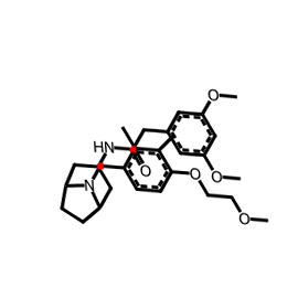 COCCOc1ccc(CN2C3CCC2CC(NC(=O)Cc2cc(OC)cc(OC)c2)C3)c(C)c1C